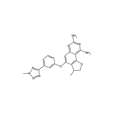 CC1COc2c1c(Oc1cccc(-c3nnn(C)n3)c1)cc1nc(N)nc(N)c21